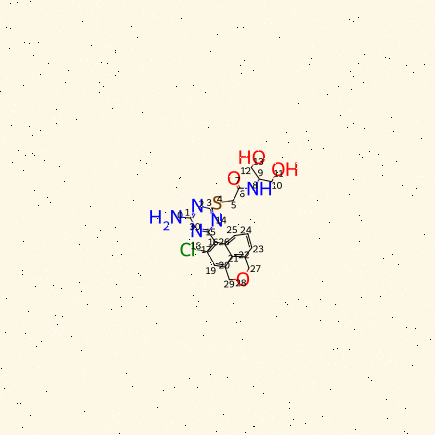 Nc1nc(SCC(=O)NC(CO)CO)nc(-c2c(Cl)cc3c4c(cccc24)COC3)n1